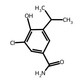 CC(C)c1cc(C(N)=O)cc(Cl)c1O